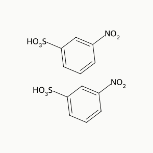 O=[N+]([O-])c1cccc(S(=O)(=O)O)c1.O=[N+]([O-])c1cccc(S(=O)(=O)O)c1